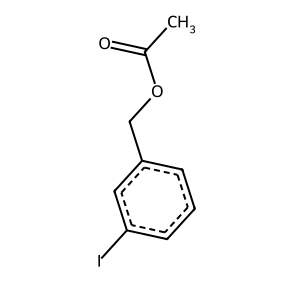 CC(=O)OCc1cccc(I)c1